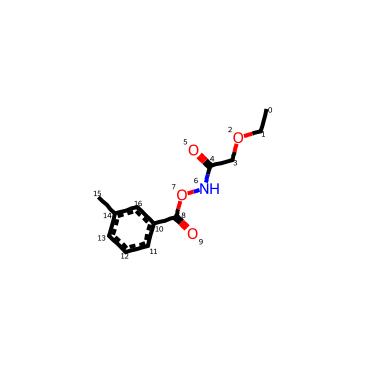 CCOCC(=O)NOC(=O)c1cccc(C)c1